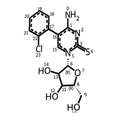 Nc1nc(=S)n([C@@H]2O[C@H](CO)C(O)C2O)cc1-c1ccccc1Cl